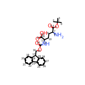 CC(C)(C)OC(=O)C(N)CCC(NC(=O)OCC1c2ccccc2-c2ccccc21)C(=O)O